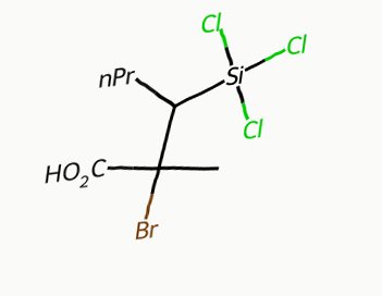 CCCC(C(C)(Br)C(=O)O)[Si](Cl)(Cl)Cl